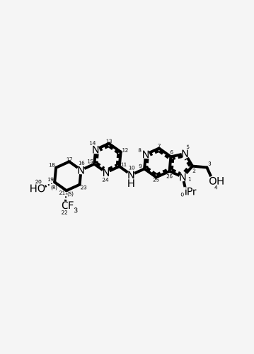 CC(C)n1c(CO)nc2cnc(Nc3ccnc(N4CC[C@@H](O)[C@@H](C(F)(F)F)C4)n3)cc21